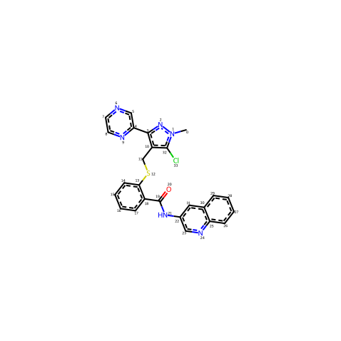 Cn1nc(-c2cnccn2)c(CSc2ccccc2C(=O)Nc2cnc3ccccc3c2)c1Cl